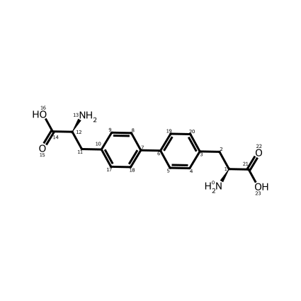 N[C@@H](Cc1ccc(-c2ccc(C[C@H](N)C(=O)O)cc2)cc1)C(=O)O